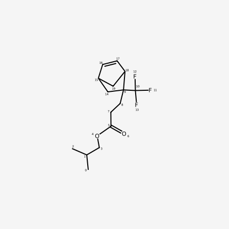 CC(C)COC(=O)CCC1(C(F)(F)F)CC2C=CC1C2